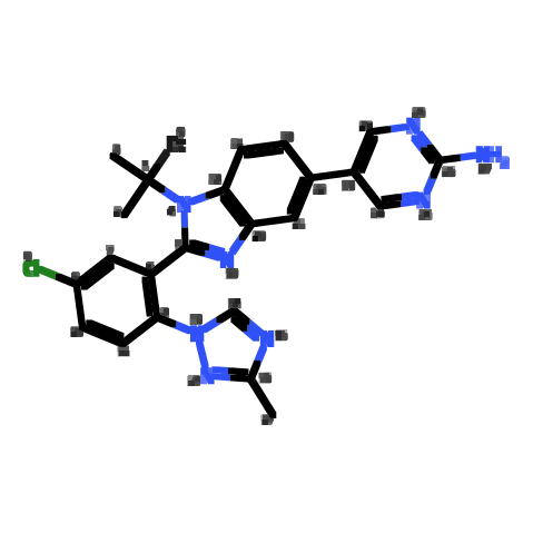 CCC(C)(C)n1c(-c2cc(Cl)ccc2-n2cnc(C)n2)nc2cc(-c3cnc(N)nc3)ccc21